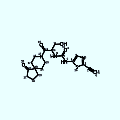 C#Cc1ncc(NC(=O)NC(CO)C(=O)N2CCC3(CCCC3=O)CC2)s1